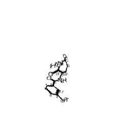 CC(C)c1cccc(C(=O)NC2CCC(=O)NC2=O)c1